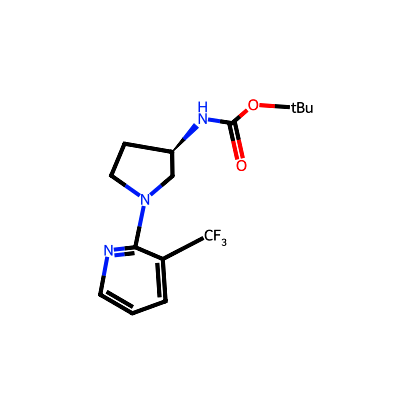 CC(C)(C)OC(=O)N[C@@H]1CCN(c2ncccc2C(F)(F)F)C1